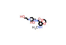 CNc1cc2c(c(C(=O)NC[C@@H]3CCN(CCCO)CC3O)c1)OCCCO2